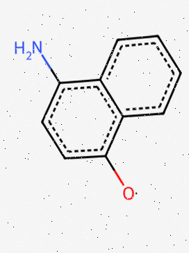 Nc1ccc([O])c2ccccc12